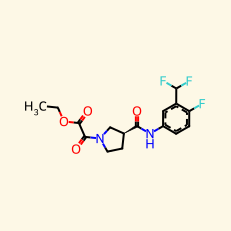 CCOC(=O)C(=O)N1CC[C@H](C(=O)Nc2ccc(F)c(C(F)F)c2)C1